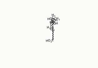 C/C(=C\C(=O)OCCCCCCCCC(=O)O)C[C@@H]1OC[C@]2(I)CC([C@H](O)[C@H](C)[C@@H](C)O)O[C@H]2[C@H]1O